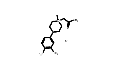 C[N+]1(CC(N)=O)CCN(c2ccc(N)c(N)c2)CC1.[Cl-]